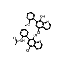 CC(=O)Nc1ccccc1-c1cc(Cl)c2cccnc2c1O.COc1ncccc1-c1cc(Cl)c2cccnc2c1O